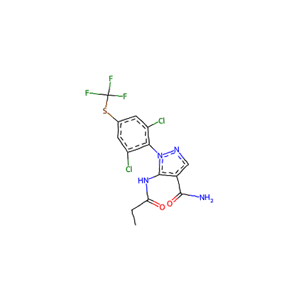 CCC(=O)Nc1c(C(N)=O)cnn1-c1c(Cl)cc(SC(F)(F)F)cc1Cl